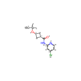 CC(C)(C)[Si](C)(C)O[C@H]1C[C@@H](C(=O)Nc2cc(Br)ccn2)C1